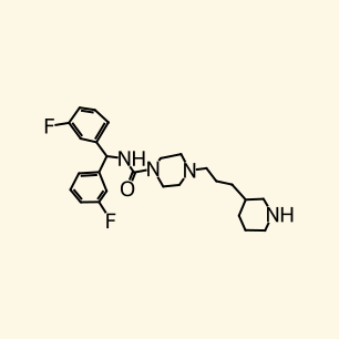 O=C(NC(c1cccc(F)c1)c1cccc(F)c1)N1CCN(CCCC2CCCNC2)CC1